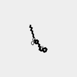 CCCCCCCCCOc1ccc(C=Cc2ccc3ccccc3n2)cc1OC